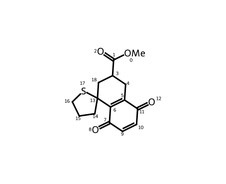 COC(=O)C1CC2=C(C(=O)C=CC2=O)C2(CCCS2)C1